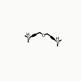 C[SiH](C)C#CCOCC#C[SiH](C)C